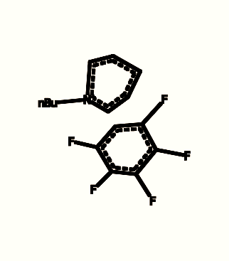 CCCC[n+]1ccccc1.Fc1cc(F)c(F)c(F)c1F